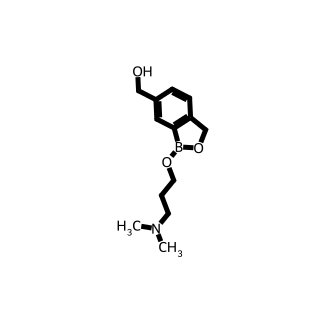 CN(C)CCCOB1OCc2ccc(CO)cc21